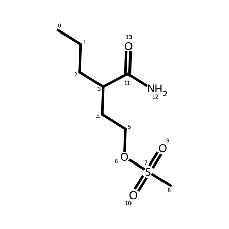 CCCC(CCOS(C)(=O)=O)C(N)=O